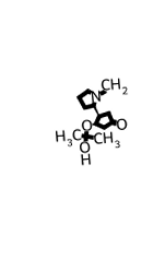 C=CN1CCCC1[C@H]1CC(=O)C[C@@H]1OC(C)(C)O